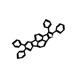 c1ccc(-c2cc3c(cc2-c2ccccc2)-c2ccc4c5c(ccc-3c25)-c2sc(-c3ccccc3)c(-c3ccccc3)c2-4)cc1